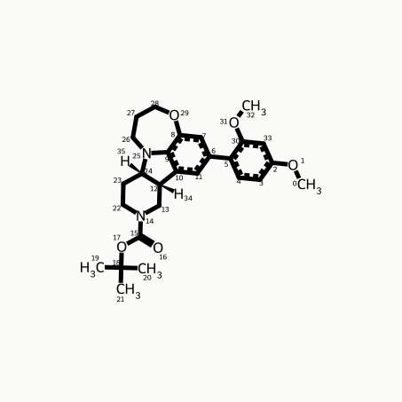 COc1ccc(-c2cc3c4c(c2)[C@@H]2CN(C(=O)OC(C)(C)C)CC[C@@H]2N4CCCO3)c(OC)c1